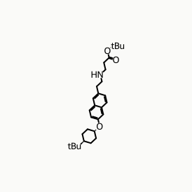 CC(C)(C)OC(=O)CCNCCc1ccc2cc(O[C@H]3CC[C@H](C(C)(C)C)CC3)ccc2c1